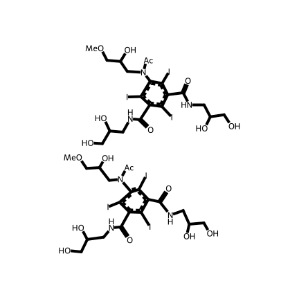 COCC(O)CN(C(C)=O)c1c(I)c(C(=O)NCC(O)CO)c(I)c(C(=O)NCC(O)CO)c1I.COCC(O)CN(C(C)=O)c1c(I)c(C(=O)NCC(O)CO)c(I)c(C(=O)NCC(O)CO)c1I